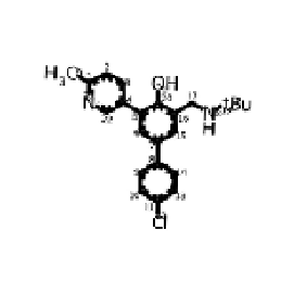 Cc1ccc(-c2cc(-c3ccc(Cl)cc3)cc(CNC(C)(C)C)c2O)cn1